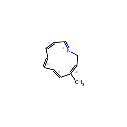 CC1=C/C/N=C/C=C\C=C\C=C\1